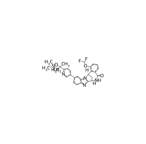 CC(C)(O[Si](C)(C)C)c1ccc(-c2ccc3nc4n(c3c2)[C@@H]2C[C@H]4NC(=O)c3cccc(OC(F)F)c32)cn1